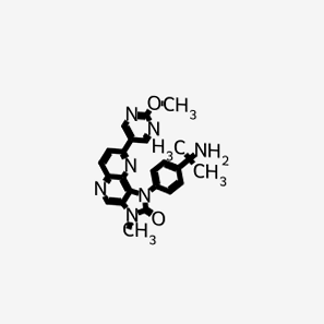 COc1ncc(-c2ccc3ncc4c(c3n2)n(-c2ccc(C(C)(C)N)cc2)c(=O)n4C)cn1